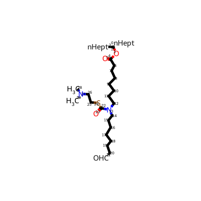 CCCCCCCC(CCCCCCC)OC(=O)CCCCCCCN(CCCCCCCC=O)C(=O)SCCN(C)C